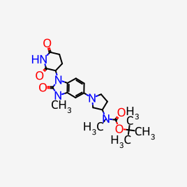 CN(C(=O)OC(C)(C)C)C1CCN(c2ccc3c(c2)n(C)c(=O)n3C2CCC(=O)NC2=O)C1